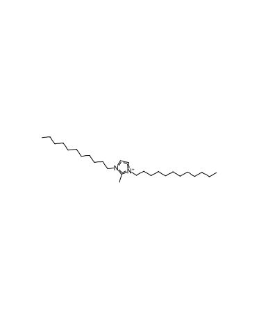 CCCCCCCCCCCC[n+]1ccn(CCCCCCCCCCC)c1C